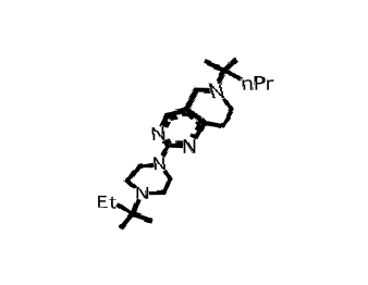 CCCC(C)(C)N1CCc2nc(N3CCN(C(C)(C)CC)CC3)ncc2C1